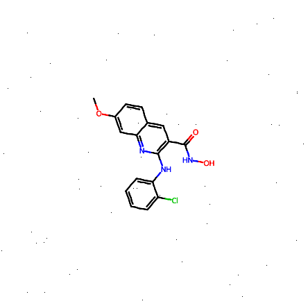 COc1ccc2cc(C(=O)NO)c(Nc3ccccc3Cl)nc2c1